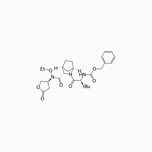 CCON(C(=O)[C@@H]1[C@H]2CC[C@H](C2)N1C(=O)[C@@H](NC(=O)OCc1ccccc1)C(C)(C)C)[C@@H]1COC(=O)C1